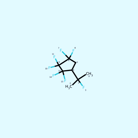 CC(C)(F)C1CC(F)(F)C(F)(F)C1(F)F